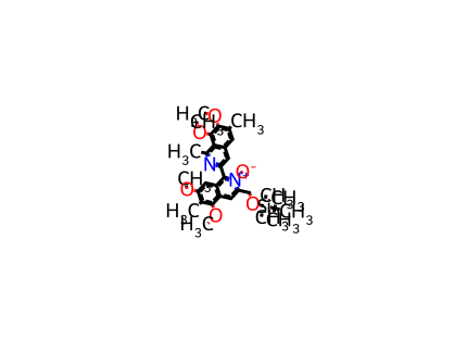 COc1cc2c(-c3cc4cc(C)c(OC)c(OC)c4c(C)n3)[n+]([O-])c(CO[Si](C)(C)C(C)(C)C)cc2c(OC)c1C